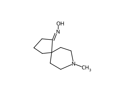 CN1CCC2(CCC/C2=N\O)CC1